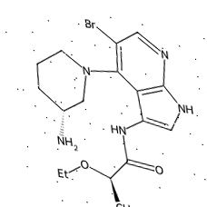 CCO[C@H](C)C(=O)Nc1c[nH]c2ncc(Br)c(N3CCC[C@@H](N)C3)c12